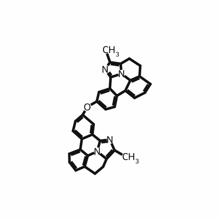 Cc1nc2c3cc(Oc4ccc5c(c4)c4nc(C)c6n4c4c(cccc54)CC6)ccc3c3cccc4c3n2c1CC4